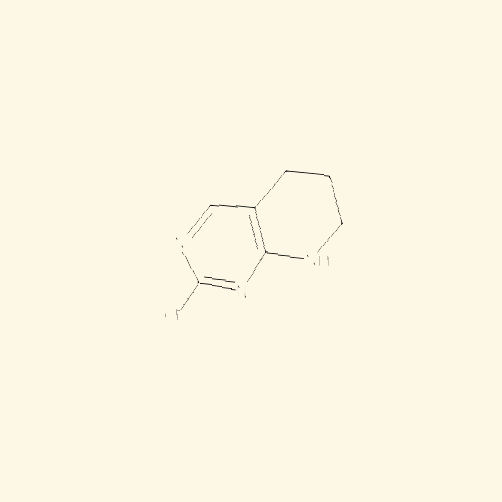 Clc1ncc2c(n1)NCCC2